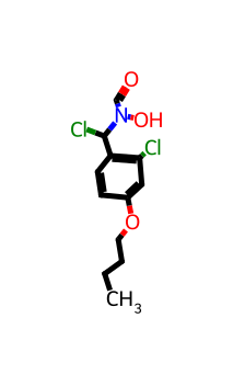 CCCCOc1ccc(C(Cl)N(O)C=O)c(Cl)c1